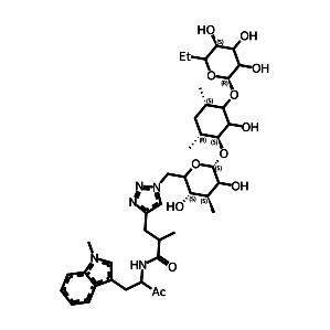 CCC1O[C@H](OC2C(O)[C@@H](O[C@H]3OC(Cn4cc(CC(C)C(=O)NC(Cc5cn(C)c6ccccc56)C(C)=O)nn4)[C@@H](O)[C@H](C)C3O)[C@H](C)C[C@@H]2C)C(O)C(O)[C@@H]1O